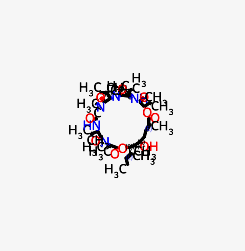 CC/C=C(\C)[C@H]1OC(=O)C(C)N(C)C(=O)C(C(C)C)NC(=O)CN(C)C(=O)C([C@H](C)CC)N(C)C(=O)C(C(C)C)NC(=O)C(C(C)C)OC(=O)/C(C)=C/C[C@H](O)[C@@H]1C